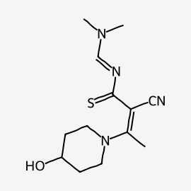 CC(=C(C#N)C(=S)N=CN(C)C)N1CCC(O)CC1